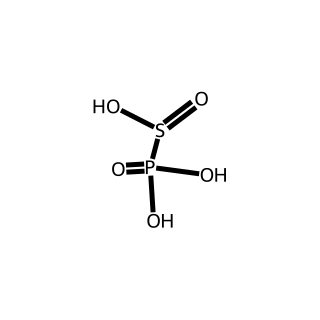 O=S(O)P(=O)(O)O